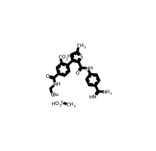 CS(=O)(=O)O.Cc1cc(-c2ccc(C(=O)NCC(C)(C)C)cc2C(=O)O)c(C(=O)Nc2ccc(C(=N)N)cc2)s1